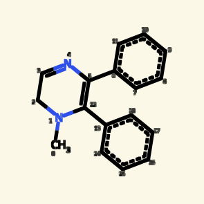 CN1CC=NC(c2ccccc2)=C1c1ccccc1